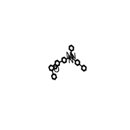 c1ccc(-c2ccc(-c3nc(-c4ccccc4)nc(-c4ccc(-c5ccc6c(c5)oc5c(-c7ccccc7)cccc56)cc4)n3)cc2)cc1